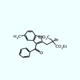 CCOC(=O)C(Br)(Cc1oc2ccc(C)cc2c1C(=O)c1ccccc1)C(=O)OCC